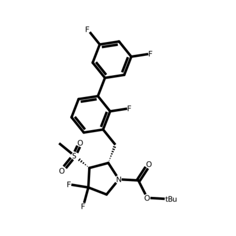 CC(C)(C)OC(=O)N1CC(F)(F)[C@H](S(C)(=O)=O)[C@@H]1Cc1cccc(-c2cc(F)cc(F)c2)c1F